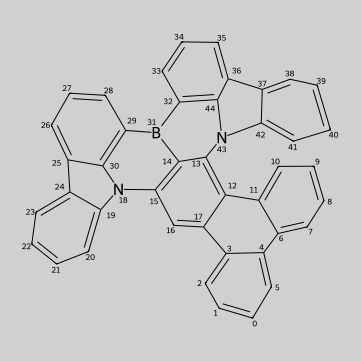 c1ccc2c(c1)c1ccccc1c1c3c4c(cc21)-n1c2ccccc2c2cccc(c21)B4c1cccc2c4ccccc4n-3c12